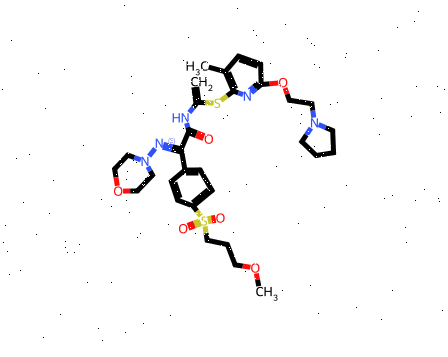 C=C(NC(=O)/C(=N/N1CCOCC1)c1ccc(S(=O)(=O)CCCOC)cc1)Sc1nc(OCCN2CCCC2)ccc1C